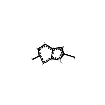 [CH2]c1cc2ccc(C)cc2o1